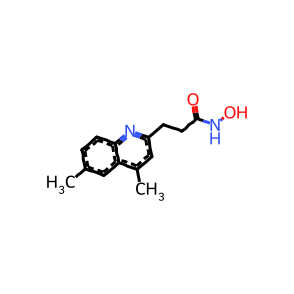 Cc1ccc2nc(CCC(=O)NO)cc(C)c2c1